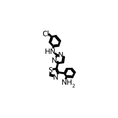 Nc1ccccc1-c1ncsc1-c1ccnc(Nc2cccc(Cl)c2)n1